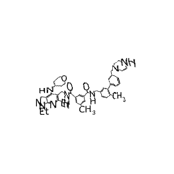 CCc1nc2c(cnn2CC)c(NC2CCOCC2)c1CNC(=O)c1cc(C)cc(C(=O)NCc2ccc(C)c(-c3cccc(CN4CCNCC4)c3)c2)c1